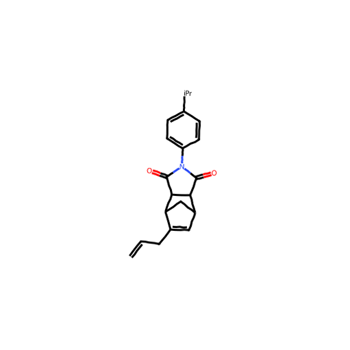 C=CCC1=CC2CC1C1C(=O)N(c3ccc(C(C)C)cc3)C(=O)C21